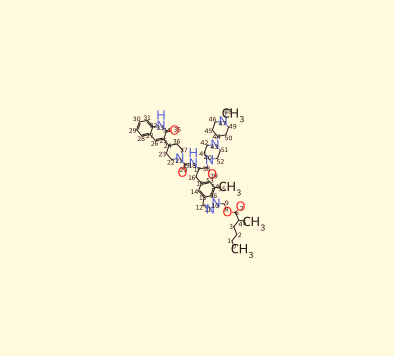 CCCCC(C)C(=O)OCn1ncc2cc(CC(NC(=O)N3CCC(c4cc5ccccc5[nH]c4=O)CC3)C(=O)N3CCN(C4CCN(C)CC4)CC3)cc(C)c21